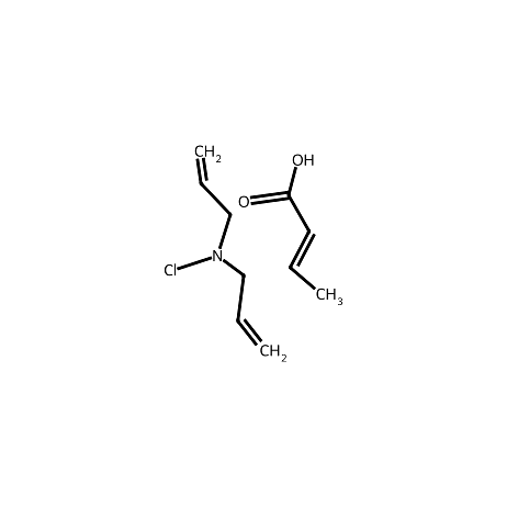 C/C=C/C(=O)O.C=CCN(Cl)CC=C